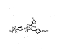 COc1ccc(CC(NC(=O)c2cncs2)C(=O)Nc2ccc(S(=O)(=O)NC(C)(C)C)cc2)cc1